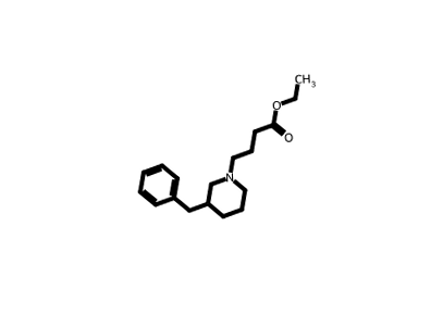 CCOC(=O)CCCN1CCCC(Cc2ccccc2)C1